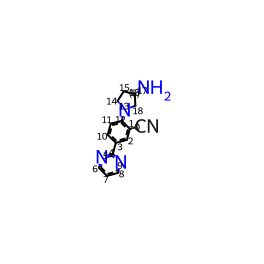 N#Cc1cc(-c2ncccn2)ccc1N1CC[C@H](N)C1